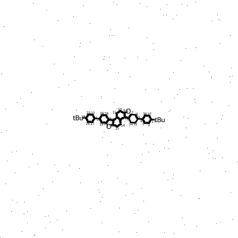 CC(C)(C)c1ccc(C2=Cc3oc4ccc5c(ccc6oc7cc(-c8ccc(C(C)(C)C)cc8)ccc7c65)c4c3CC2)cc1